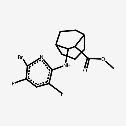 COC(=O)C1C2CCCC(CC2)C1Nc1nc(Br)c(F)cc1F